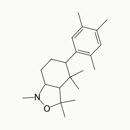 Cc1cc(C)c(C2CCC3C(C(C)(C)ON3C)C2(C)C)cc1C